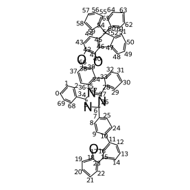 c1ccc(-c2nc(-c3ccc(-c4cccc5c4oc4ccccc45)cc3)nc(-c3ccccc3-c3cccc4c3Oc3c(ccc5c3-c3ccccc3C5(c3ccccc3)c3ccccc3)O4)n2)cc1